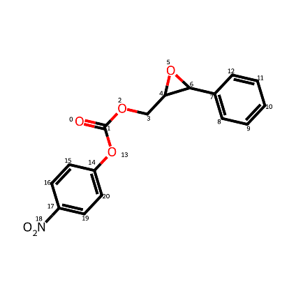 O=C(OCC1OC1c1ccccc1)Oc1ccc([N+](=O)[O-])cc1